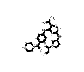 C=CC(=O)N1CCC(Nc2nnc(C(N)=O)c(Nc3ccc(C(=O)N4CCOCC4)cc3)n2)C1